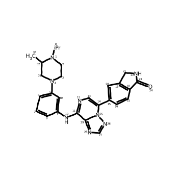 CC(C)N1CCN(c2cccc(Nc3ncc(-c4ccc5c(c4)CNC5=O)n4ncnc34)c2)CC1C